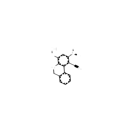 COc1cc([N+](=O)[O-])c(C#N)c2c1OCc1ccccc1-2